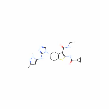 Cc1cc(Nc2nncn2[C@@H]2CCc3sc(NC(=O)C4CC4)c(C(=O)NCC(C)C)c3C2)n(C)n1